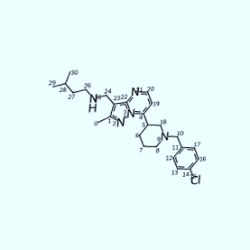 Cc1nn2c(C3CCCN(Cc4ccc(Cl)cc4)C3)ccnc2c1CNCCC(C)C